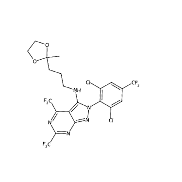 CC1(CCCNc2c3c(C(F)(F)F)nc(C(F)(F)F)nc3nn2-c2c(Cl)cc(C(F)(F)F)cc2Cl)OCCO1